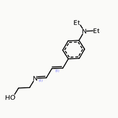 CCN(CC)c1ccc(/C=C/C=N/CCO)cc1